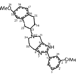 COc1cccc(-c2nc3c([nH]2)CN(C2CCc4ccc(OC)cc4C2)CC3)c1